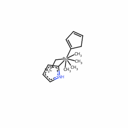 C[CH2][Ru]([CH3])([CH3])([CH3])([CH3])([C]1=CC=CC1)[c]1ccc[nH]1